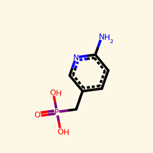 Nc1ccc(CP(=O)(O)O)cn1